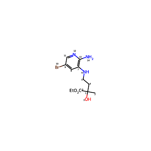 CCOC(=O)C(C)(O)CCNc1cc(Br)cnc1N